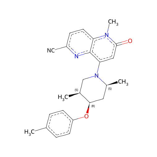 Cc1ccc(O[C@@H]2C[C@H](C)N(c3cc(=O)n(C)c4ccc(C#N)nc34)C[C@@H]2C)cc1